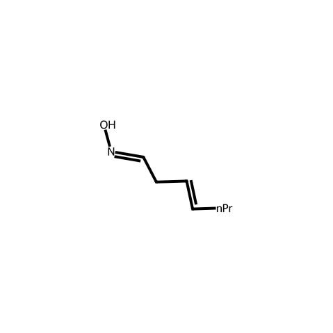 CCCC=CCC=NO